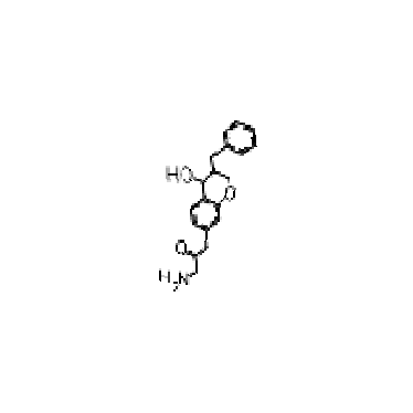 NCC(=O)Cc1ccc2c(c1)OCC(Cc1ccccc1)C2O